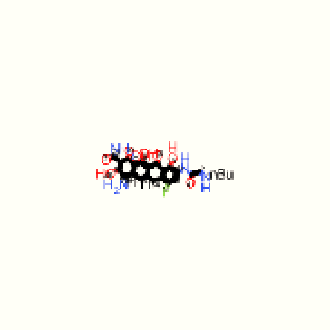 CCCCNCC(=O)Nc1cc(F)c2c(c1O)C(=O)C1=C(O)[C@]3(O)C(=O)C(C(N)=O)=C(O)[C@@H](N)[C@@H]3C[C@@H]1C2